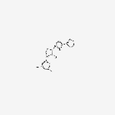 Cc1cc(C)cc(N2CCC(n3ccc(C4=CCCC4)n3)C2=O)c1